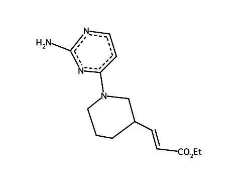 CCOC(=O)C=CC1CCCN(c2ccnc(N)n2)C1